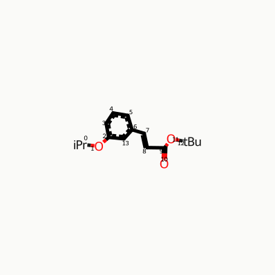 CC(C)Oc1cccc(C=CC(=O)OC(C)(C)C)c1